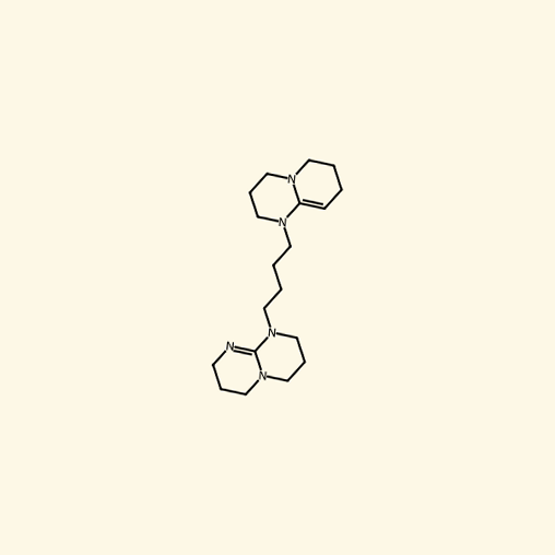 C1=C2N(CCC1)CCCN2CCCCN1CCCN2CCCN=C12